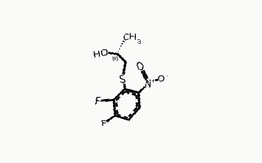 C[C@@H](O)CSc1c([N+](=O)[O-])ccc(F)c1F